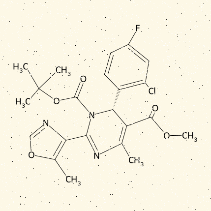 COC(=O)C1=C(C)N=C(c2ncoc2C)N(C(=O)OC(C)(C)C)[C@@H]1c1ccc(F)cc1Cl